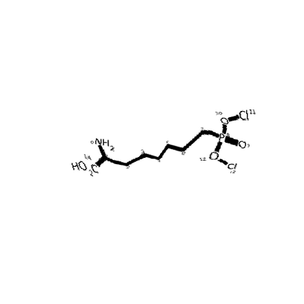 NC(CCCCCCP(=O)(OCl)OCl)C(=O)O